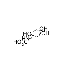 O=C(O)NCC1(O)CCS(O)(O)CC1